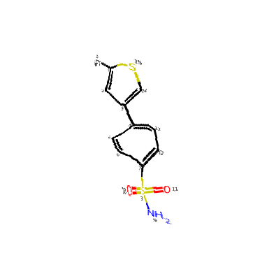 CC(C)c1cc(-c2ccc(S(N)(=O)=O)cc2)cs1